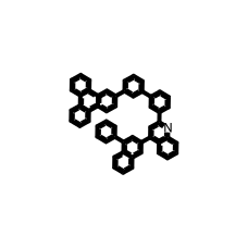 c1ccc(-c2cc(-c3cc(-c4cccc(-c5cccc(-c6ccc7c8ccccc8c8ccccc8c7c6)c5)c4)nc4ccccc34)cc3ccccc23)cc1